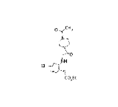 CCOC(=O)Sc1ccc(Cl)cc1NCC(=O)N1CCN(C(C)O)CC1